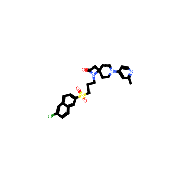 Cc1cc(N2CCC3(CC2)CC(=O)N3CCCS(=O)(=O)c2ccc3cc(Cl)ccc3c2)ccn1